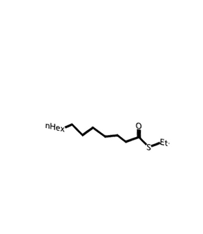 C[CH]SC(=O)CCCCCCCCCCCC